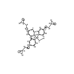 CCC(c1ccc(OCC2CO2)cc1)(c1ccc(OCC2CO2)cc1)c1ccc(OCC2CO2)cc1